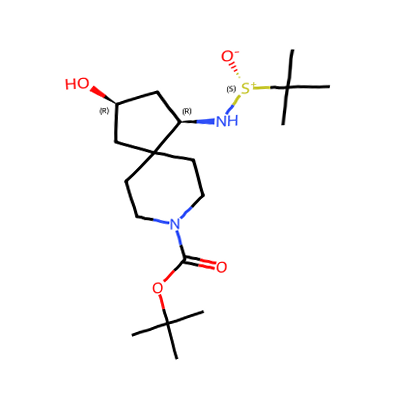 CC(C)(C)OC(=O)N1CCC2(CC1)C[C@@H](O)C[C@H]2N[S@+]([O-])C(C)(C)C